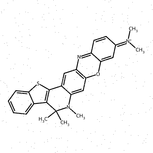 CN1c2cc3oc4cc(=[N+](C)C)ccc-4nc3cc2-c2sc3ccccc3c2C1(C)C